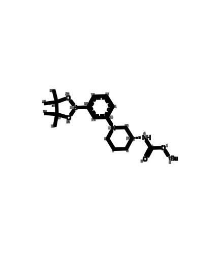 CC(C)(C)OC(=O)N[C@@H]1CCCN(c2cccc(B3OC(C)(C)C(C)(C)O3)c2)C1